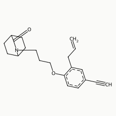 C#Cc1ccc(OCCCN2C(=O)C3CCC2CC3)c(CC=C)c1